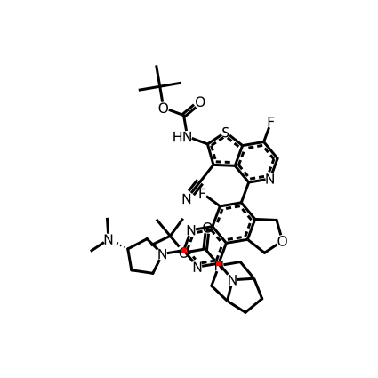 CN(C)[C@H]1CCN(c2nc(N3C4CCC3CN(C(=O)OC(C)(C)C)C4)c3c4c(c(-c5ncc(F)c6sc(NC(=O)OC(C)(C)C)c(C#N)c56)c(F)c3n2)COC4)C1